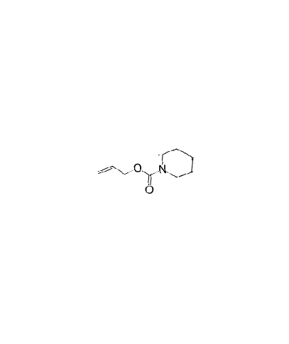 C=CCOC(=O)N1[CH]CCCC1